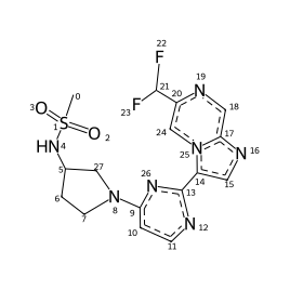 CS(=O)(=O)NC1CCN(c2ccnc(-c3cnc4cnc(C(F)F)cn34)n2)C1